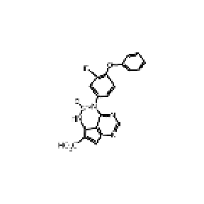 O=C(O)C1=Cc2ncnc3c2C1N[S+]([O-])N3c1ccc(Oc2ccccc2)c(F)c1